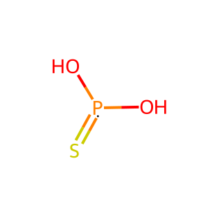 O[P](O)=S